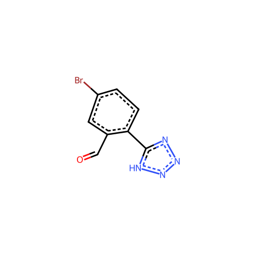 O=Cc1cc(Br)ccc1-c1nnn[nH]1